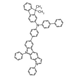 CC1(C)c2ccccc2-c2ccc(N(c3ccc(-c4ccccc4)cc3)c3ccc(-c4ccc5c(c4)c4cc6ccn(-c7ccccc7)c6cc4n5-c4ccccc4)cc3)cc21